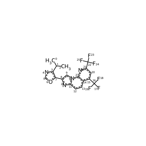 CC(C)c1ncoc1-c1cn2c(ccc3c(C(F)(F)F)cc(C(F)(F)F)nc32)n1